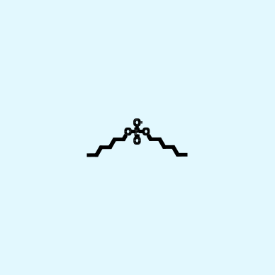 CCCCCCOP([O])(=O)OCCCCCC